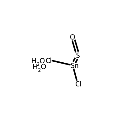 O.O.O=[S]=[Sn]([Cl])[Cl]